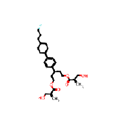 C=C(CO)C(=O)OCCC(CCOC(=O)C(=C)CO)c1ccc(C2CCC(CCCF)CC2)cc1